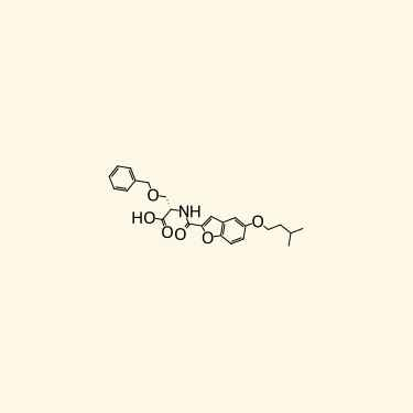 CC(C)CCOc1ccc2oc(C(=O)N[C@@H](COCc3ccccc3)C(=O)O)cc2c1